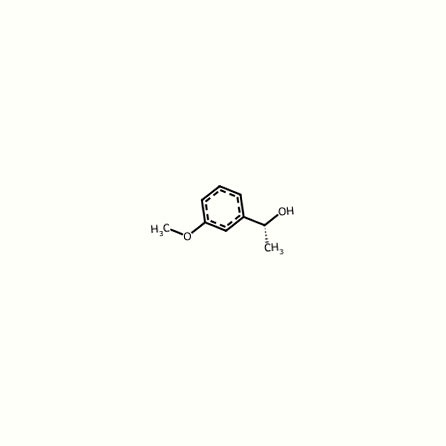 COc1cccc([C@@H](C)O)c1